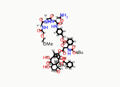 COCCOCC(=O)N[C@H](C)C(=O)N[C@H](C)C(=O)N[C@H](CC(N)=O)C(=O)Nc1ccc(COC(=O)O[C@@H](C(=O)O[C@H]2C[C@@]3(O)[C@@H](OC(=O)c4ccccc4)[C@H]4[C@](C)(C(=O)[C@H](O)C(=C2C)C3(C)C)[C@@H](O)CC2OC[C@]24OC(C)=O)C(NC(=O)OC(C)(C)C)c2ccccc2)cc1